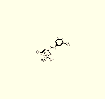 C/C=C/[C@H](COc1cccc(C(F)(F)F)c1)O[Si](C)(C)C(C)(C)C